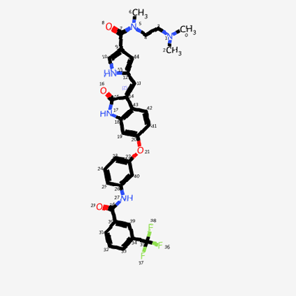 CN(C)CCN(C)C(=O)c1c[nH]c(/C=C2\C(=O)Nc3cc(Oc4cccc(NC(=O)c5cccc(C(F)(F)F)c5)c4)ccc32)c1